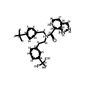 CC(C)(C)c1ccc(CN(CCc2cccc(C(F)(F)F)c2)C(=O)c2nccc3cn[nH]c23)cc1